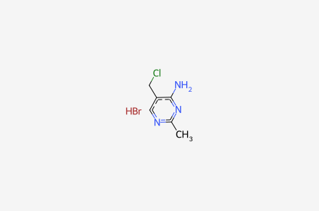 Br.Cc1ncc(CCl)c(N)n1